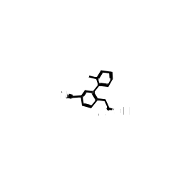 Cc1ccccc1-c1cc(C#N)ccc1CC(=O)O